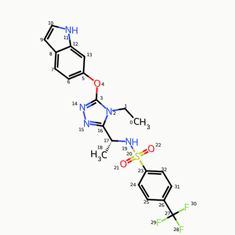 CCn1c(Oc2ccc3cc[nH]c3c2)nnc1[C@@H](C)NS(=O)(=O)c1ccc(C(F)(F)F)cc1